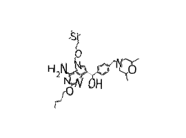 CCCCOc1nc(N)c2c(n1)c(C(O)c1ccc(CN3CC(C)OC(C)C3)cc1)cn2COCC[Si](C)(C)C